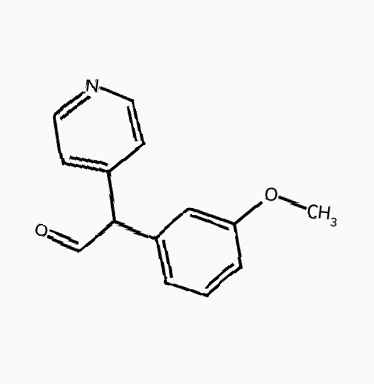 COc1cccc(C(C=O)c2ccncc2)c1